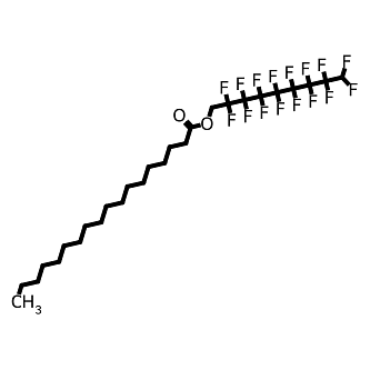 CCCCCCCCCCCCCCCCCC(=O)OCC(F)(F)C(F)(F)C(F)(F)C(F)(F)C(F)(F)C(F)(F)C(F)(F)C(F)F